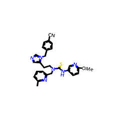 COc1ccc(NC(=S)N(CCc2cncn2Cc2ccc(C#N)cc2)Cc2cccc(C)n2)cn1